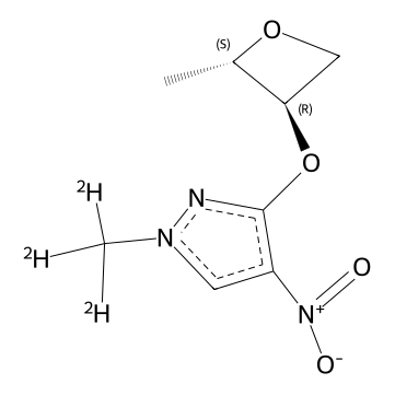 [2H]C([2H])([2H])n1cc([N+](=O)[O-])c(O[C@@H]2CO[C@H]2C)n1